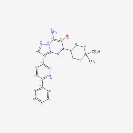 CC1(C(=O)O)CCC(c2nc3c(-c4ccc(-c5ccccc5)nc4)cnn3c(N)c2Br)CC1